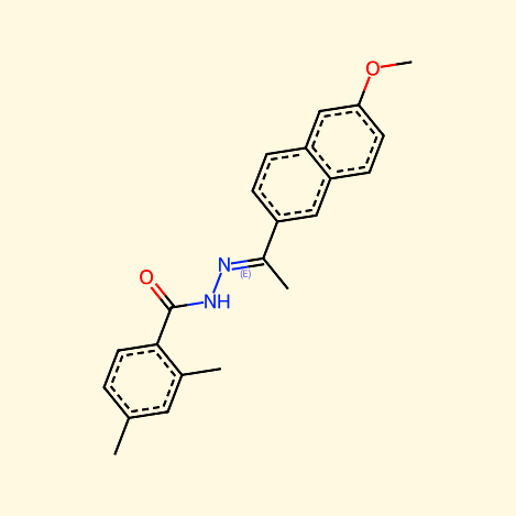 COc1ccc2cc(/C(C)=N/NC(=O)c3ccc(C)cc3C)ccc2c1